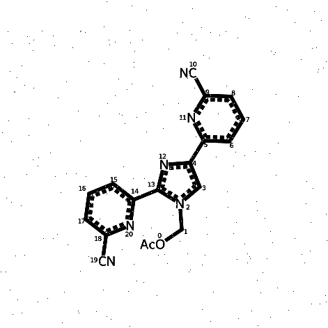 CC(=O)OCn1cc(-c2cccc(C#N)n2)nc1-c1cccc(C#N)n1